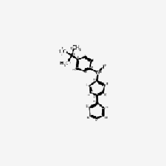 CC(C)(C)c1ccc(N(I)c2ccc(-c3ccccc3)cc2)cc1